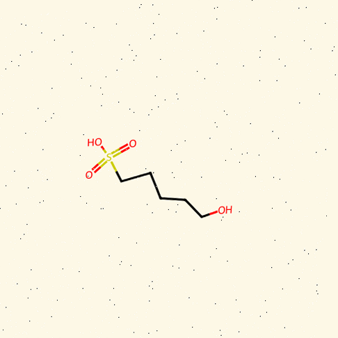 O=S(=O)(O)C[CH]CCCO